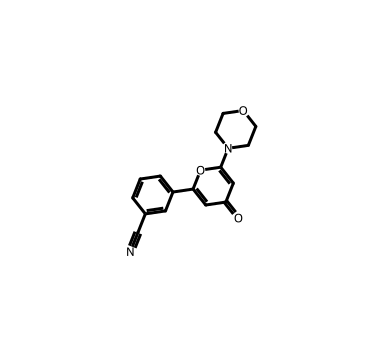 N#Cc1cccc(-c2cc(=O)cc(N3CCOCC3)o2)c1